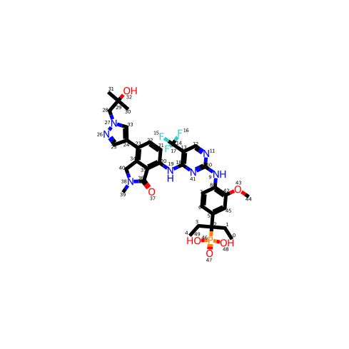 CCC(CC)(c1ccc(Nc2ncc(C(F)(F)F)c(Nc3ccc(-c4cnn(CC(C)(C)O)c4)c4c3C(=O)N(C)C4)n2)c(OC)c1)P(=O)(O)O